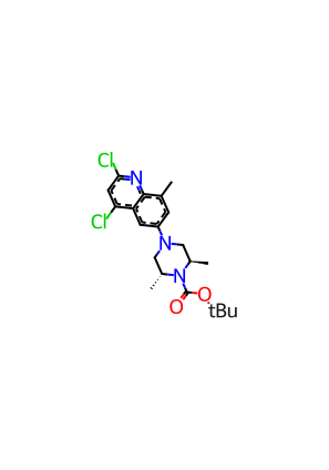 Cc1cc(N2C[C@@H](C)N(C(=O)OC(C)(C)C)[C@H](C)C2)cc2c(Cl)cc(Cl)nc12